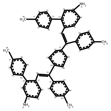 Cc1ccc(C(=Cc2ccc(N)cc2-c2ccc(C)cc2)c2ccc(C(=Cc3ccc(N)cc3-c3ccc(C)cc3)c3ccc(C)cc3)cc2)cc1